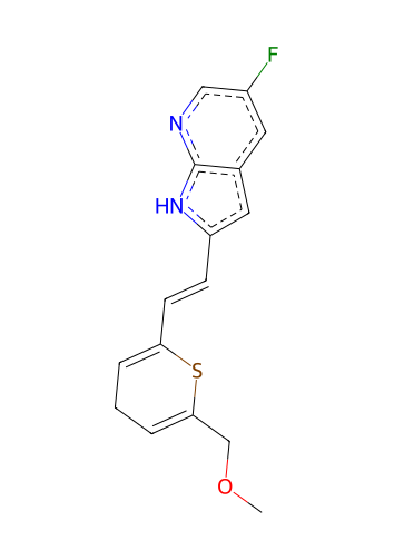 COCC1=CCC=C(C=Cc2cc3cc(F)cnc3[nH]2)S1